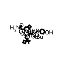 CC(C)(C)O[C@H](NC(=O)N[C@H]1CC[C@H](O)CC1)C(=O)N1C[C@]2(C[C@H]1C(=O)NC(CC1CCC1)C(=O)C(N)=O)C(C)(C)C21CCC1